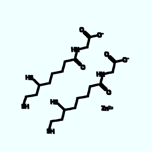 O=C([O-])CNC(=O)CCCCC(S)CCS.O=C([O-])CNC(=O)CCCCC(S)CCS.[Zn+2]